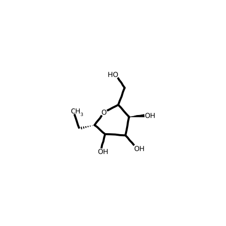 CC[C@@H]1OC(CO)[C@@H](O)C(O)C1O